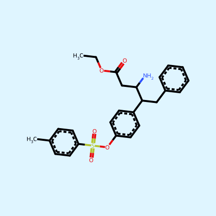 CCOC(=O)CC(N)C(Cc1ccccc1)c1ccc(OS(=O)(=O)c2ccc(C)cc2)cc1